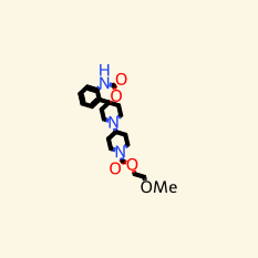 COCCOC(=O)N1CCC(N2CCC3(CC2)OC(=O)Nc2ccccc23)CC1